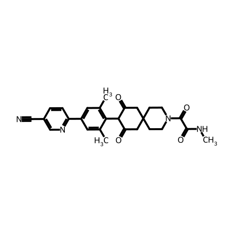 CNC(=O)C(=O)N1CCC2(CC1)CC(=O)C(c1c(C)cc(-c3ccc(C#N)cn3)cc1C)C(=O)C2